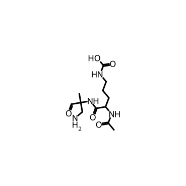 CC(=O)NC(CCCNC(=O)O)C(=O)NC(C)(C=O)CN